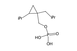 CC(C)CC1(COP(=O)(O)O)CC1C(C)C